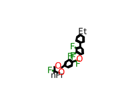 CCCC1(F)COC(c2ccc(C(F)(F)Oc3ccc(-c4ccc(CC)cc4)c(F)c3F)c(F)c2)OC1